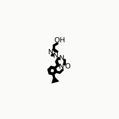 O=C1CN=C(n2cnc(CCO)c2)C=C2c3cccc(C4CC4)c3CCN12